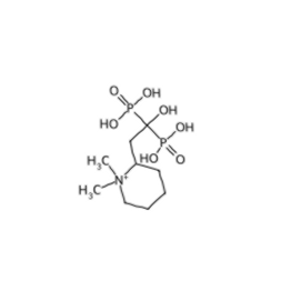 C[N+]1(C)CCCCC1CC(O)(P(=O)(O)O)P(=O)(O)O